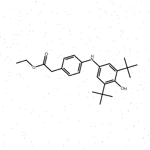 CCOC(=O)Cc1ccc(Nc2cc(C(C)(C)C)c(O)c(C(C)(C)C)c2)cc1